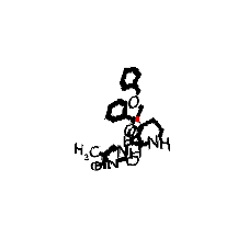 Cc1cn([C@@H]2O[C@@]3(CCOCc4ccccc4)CCCN[C@@H]2[C@@H]3OCc2ccccc2)c(=O)[nH]c1=O